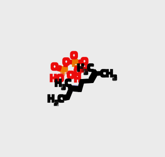 C=C/C(C)=C/CC=C(C)C.O=P(O)(O)OP(=O)(O)O